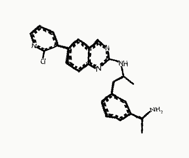 CC(Cc1cccc(C(C)N)c1)Nc1ncc2cc(-c3cccnc3Cl)ccc2n1